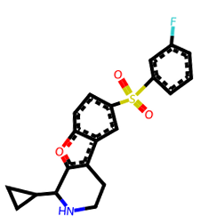 O=S(=O)(c1cccc(F)c1)c1ccc2oc3c(c2c1)CCNC3C1CC1